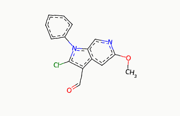 COc1cc2c(C=O)c(Cl)n(-c3ccccc3)c2cn1